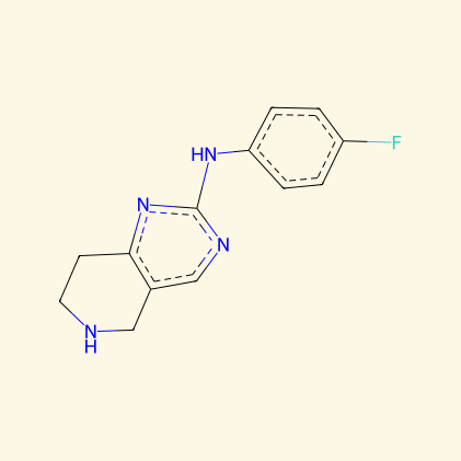 Fc1ccc(Nc2ncc3c(n2)CCNC3)cc1